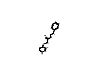 O=C(CCCc1ccccc1)CSc1ccccc1